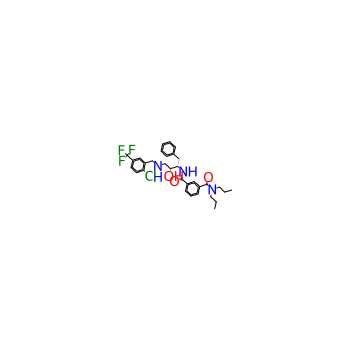 CCCN(CCC)C(=O)c1cccc(C(=O)N[C@@H](Cc2ccccc2)[C@H](O)CNCc2cc(C(F)(F)F)ccc2Cl)c1